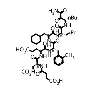 CCCC[C@H](NC(=O)[C@H](CC(C)C)NC(=O)[C@H](CC1CCCCC1)NC(=O)[C@H](Cc1ccccc1C)NC(=O)[C@H](CCC(=O)O)NC(=O)[C@H](CC(=O)O)NC(=O)CCC(=O)O)C(=O)C(N)=O